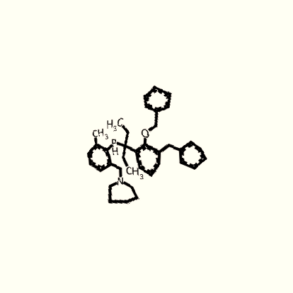 CCC(CC)(Pc1c(C)cccc1CN1CCCCC1)c1cccc(Cc2ccccc2)c1OCc1ccccc1